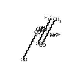 CC(=O)[O-].CC(=O)[O-].CCCCCCCCCCCCCCCCCC(=O)[O-].CCCCCCCCCCCCCCCCCC(=O)[O-].CCCCCCCCCCCCCCCCCC(=O)[O-].[Ca+2].[Li+].[Mn+2]